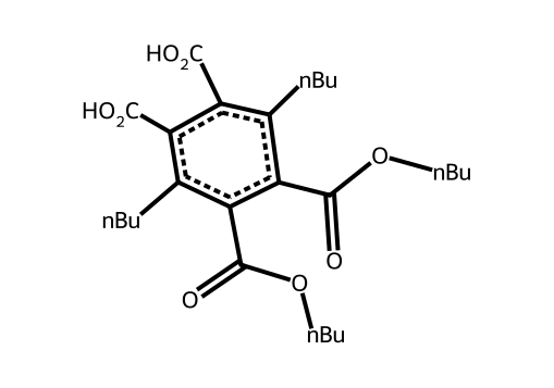 CCCCOC(=O)c1c(CCCC)c(C(=O)O)c(C(=O)O)c(CCCC)c1C(=O)OCCCC